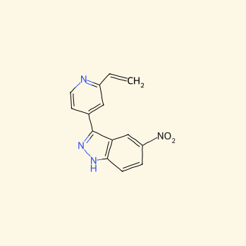 C=Cc1cc(-c2n[nH]c3ccc([N+](=O)[O-])cc23)ccn1